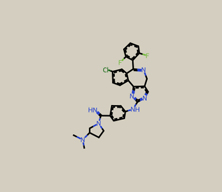 CN(C)C1CCN(C(=N)c2ccc(Nc3ncc4c(n3)-c3ccc(Cl)cc3C(c3c(F)cccc3F)=NC4)cc2)C1